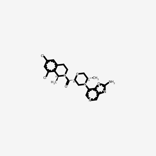 C[C@H]1c2c(Cl)cc(Cl)cc2CCN1C(=O)[C@H]1CN(c2cncc3nc(N)oc23)[C@@H](C)CO1